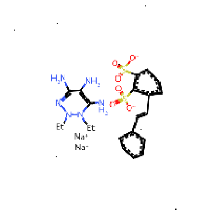 CCN1N=C(N)C(N)=C(N)N1CC.O=S(=O)([O-])c1cccc(C=Cc2ccccc2)c1S(=O)(=O)[O-].[Na+].[Na+]